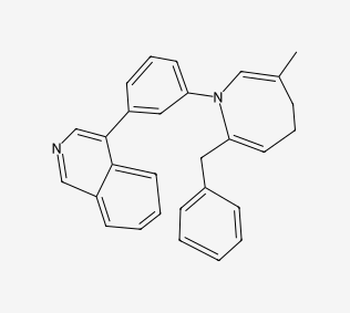 CC1=CN(c2cccc(-c3cncc4ccccc34)c2)C(Cc2ccccc2)=CCC1